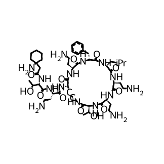 CC(C)C[C@@H]1NC(=O)[C@@H](Cc2ccccc2)NC(=O)[C@H](CCN)NC(=O)[C@@H](NC(=O)[C@H](CCN)NC(=O)[C@@H](NC(=O)CC2(N)CCCCC2)C(C)O)CCNC(=O)[C@H](C(C)O)NC(=O)[C@H](CCN)NC(=O)[C@H](CCN)NC1=O